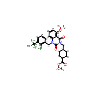 COC(=O)C1CCC(Cn2c(=O)c3c(OC)cccc3n(Cc3cccc(C(F)(F)F)c3F)c2=O)CC1